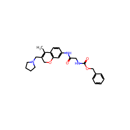 CC1=C(CN2CCCC2)COc2cc(NC(=O)CNC(=O)OCc3ccccc3)ccc21